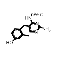 CCCCCNc1nc(N)ncc1Cc1ccc(O)cc1C